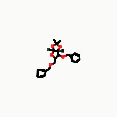 CC1(C)O[C@H]2O[C@H](COCc3ccccc3)C(OCc3ccccc3)[C@@H]2O1